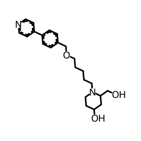 OCC1CC(O)CCN1CCCCCOCc1ccc(-c2ccncc2)cc1